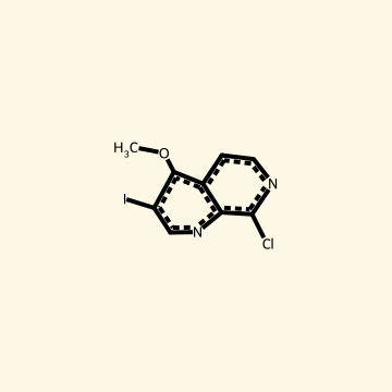 COc1c(I)cnc2c(Cl)nccc12